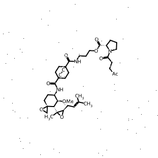 CO[C@H]1[C@H](C2(C)O[C@@H]2CC=C(C)C)[C@]2(CC[C@H]1NC(=O)C13CCC(C(=O)NCCCOC(=O)[C@@H]4CCCN4C(=O)CCC(C)=O)(CC1)CC3)CO2